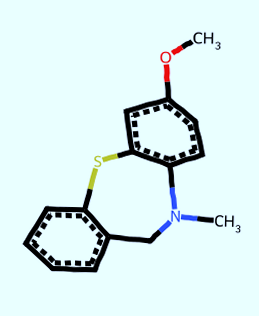 COc1ccc2c(c1)Sc1ccccc1CN2C